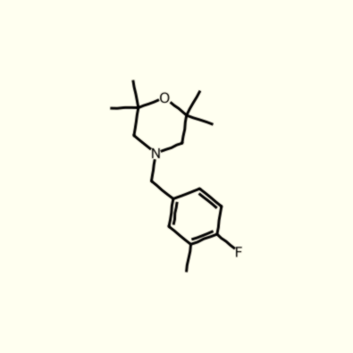 Cc1cc(CN2CC(C)(C)OC(C)(C)C2)ccc1F